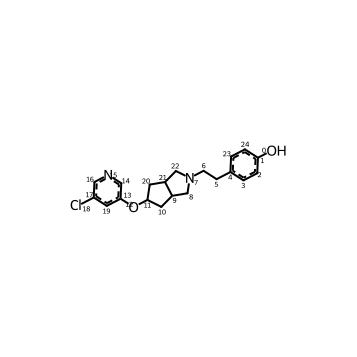 Oc1ccc(CCN2CC3CC(Oc4cncc(Cl)c4)CC3C2)cc1